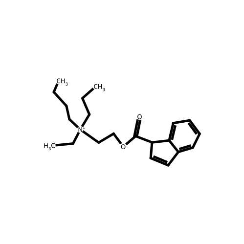 CCCC[N+](CC)(CCC)CCOC(=O)C1C=Cc2ccccc21